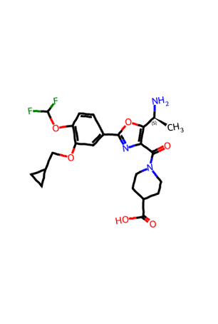 C[C@H](N)c1oc(-c2ccc(OC(F)F)c(OCC3CC3)c2)nc1C(=O)N1CCC(C(=O)O)CC1